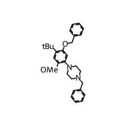 COc1cc(C(C)(C)C)c(OCc2ccccc2)cc1N1CCN(Cc2ccccc2)CC1